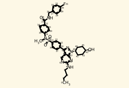 CCCCNc1ncc2c(-c3ccc(S(=O)(=O)N(C)c4ccc(C(=O)NCc5ccc(F)cc5)cc4)cc3)nn([C@H]3CC[C@H](O)CC3)c2n1